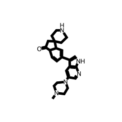 CN1CCN(c2cnc3[nH]cc(C4=CC5C(C=C4)C(=O)CC54CCNCC4)c3c2)CC1